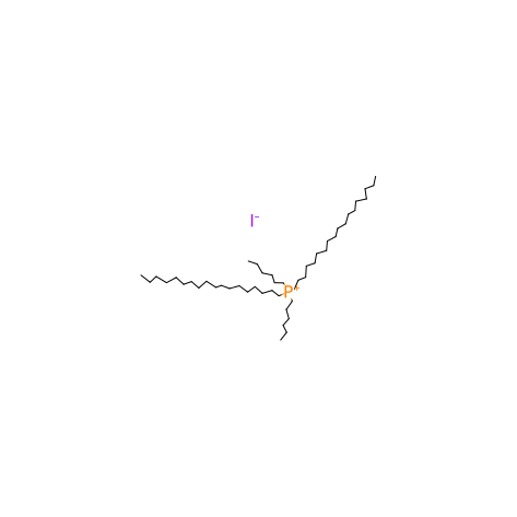 CCCCCCCCCCCCCCCCCC[P+](CCCCCC)(CCCCCC)CCCCCCCCCCCCCCCCCC.[I-]